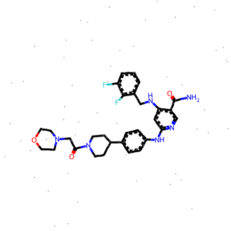 NC(=O)c1cnc(Nc2ccc(C3CCN(C(=O)CN4CCOCC4)CC3)cc2)cc1NCc1cccc(F)c1F